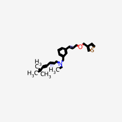 CCN(C/C=C/C#CC(C)(C)C)Cc1cccc(/C=C/COCc2ccsc2)c1